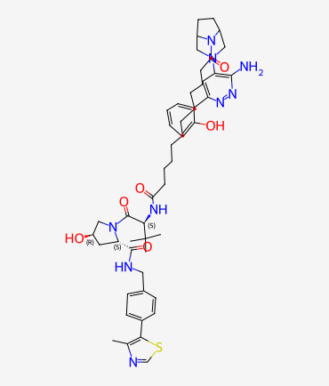 Cc1ncsc1-c1ccc(CNC(=O)[C@@H]2C[C@@H](O)CN2C(=O)[C@@H](NC(=O)CCCCCCCCCCC(=O)N2C3CCC2CN(c2cc(-c4ccccc4O)nnc2N)C3)C(C)(C)C)cc1